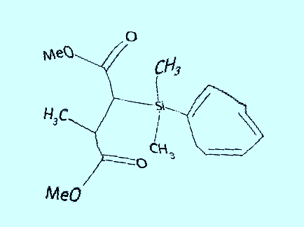 COC(=O)C(C)C(C(=O)OC)[Si](C)(C)c1ccccc1